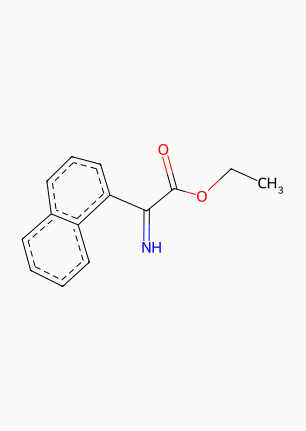 CCOC(=O)C(=N)c1cccc2ccccc12